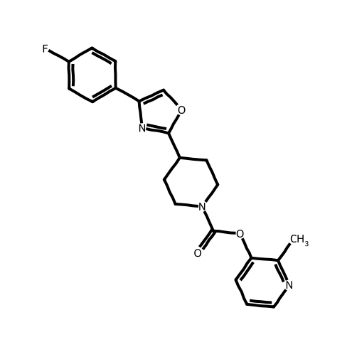 Cc1ncccc1OC(=O)N1CCC(c2nc(-c3ccc(F)cc3)co2)CC1